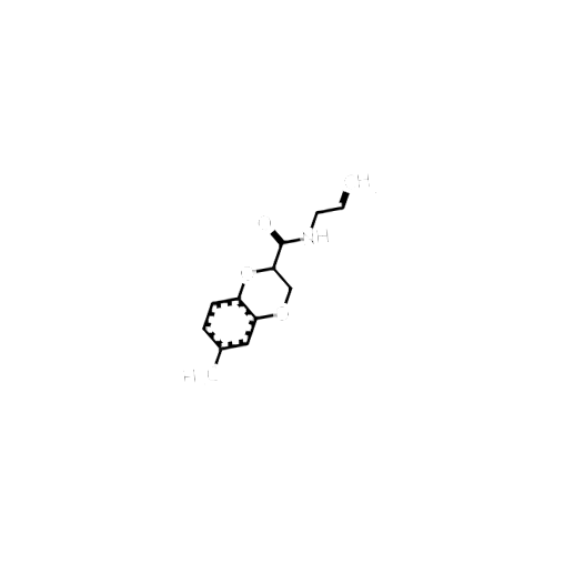 C=CCNC(=O)C1COc2cc(C)ccc2O1